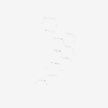 Cc1nc2cccc(CN3CCNCC3)c2c(=O)n1C1CCC(C(=O)C=O)NC1